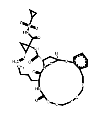 C=C[C@@H]1C[C@]1(NC(=O)[C@@H]1C[C@@H]2CN1C(=O)[C@H](CCCC)NC(=O)OCCCCCCCc1ccccc1O2)C(=O)NS(=O)(=O)C1CC1